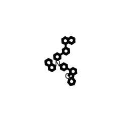 c1cc(-c2cccc(N(c3ccc(-c4cccc5c4oc4ccccc45)cc3)c3cccc4ccccc34)c2)cc(-c2cccc3ccccc23)c1